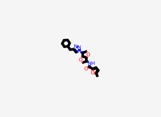 Cc1ccc(C(=O)NC2COC3C2OCC3n2cc(CC3CCCCC3)nn2)o1